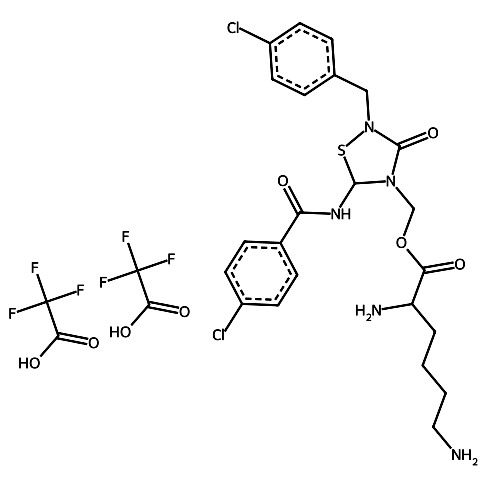 NCCCCC(N)C(=O)OCN1C(=O)N(Cc2ccc(Cl)cc2)SC1NC(=O)c1ccc(Cl)cc1.O=C(O)C(F)(F)F.O=C(O)C(F)(F)F